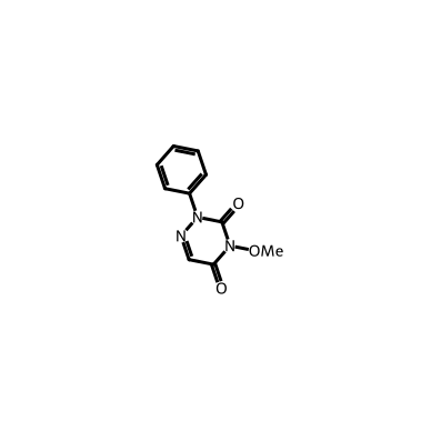 COn1c(=O)cnn(-c2ccccc2)c1=O